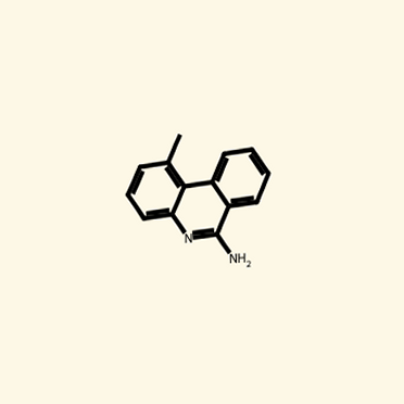 Cc1cccc2nc(N)c3ccccc3c12